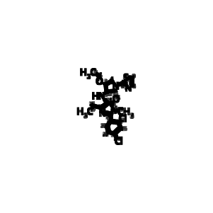 CCO[C@@H]1CN(c2nccs2)C[C@H]1Nc1c(CC)nc(-c2ccc(Cl)cc2Cl)n(C)c1=O